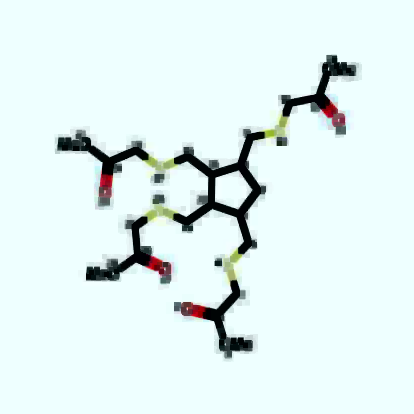 COC(=O)CSCC1CC(CSCC(=O)OC)C(CSCC(=O)OC)C1CSCC(=O)OC